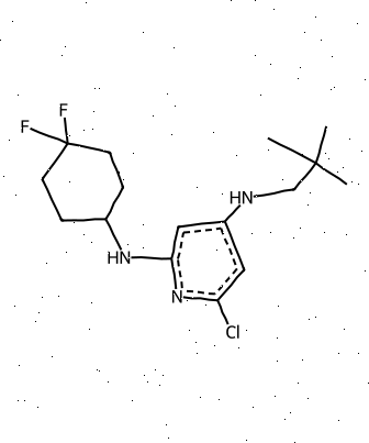 CC(C)(C)CNc1cc(Cl)nc(NC2CCC(F)(F)CC2)c1